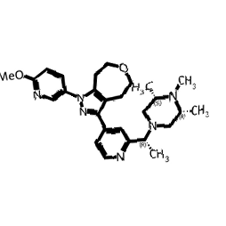 COc1ccc(-n2nc(-c3ccnc([C@@H](C)N4C[C@@H](C)N(C)[C@@H](C)C4)c3)c3c2CCOCC3)cn1